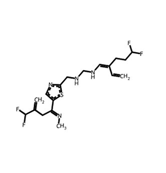 C=C/C(=C\NCNCc1ncc(/C(CC(=C)C(F)F)=N/C)s1)CCC(F)F